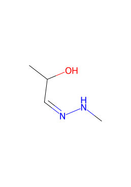 CN/N=C\C(C)O